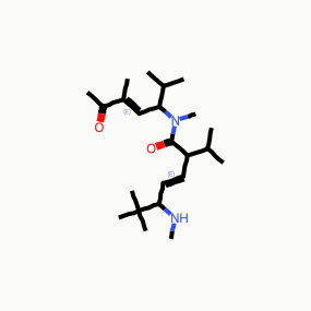 CNC(/C=C/C(C(=O)N(C)C(/C=C(\C)C(C)=O)C(C)C)C(C)C)C(C)(C)C